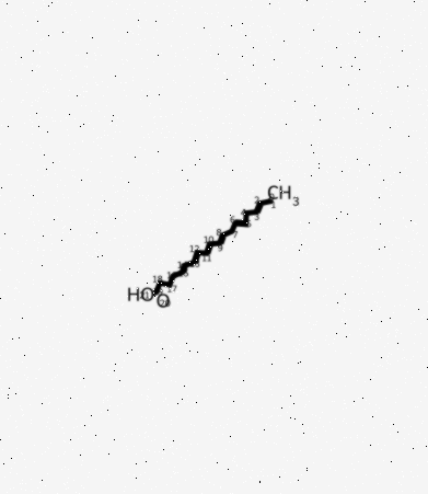 CCC=CCC=CCC=CC=CC=CC=CCCCC(=O)O